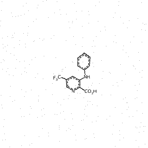 O=C(O)c1ncc(C(F)(F)F)cc1Nc1ccccc1